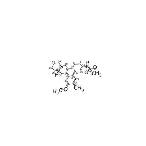 COc1cc2c3c(c4ccc(NS(C)(=O)=O)cc4c2cc1C)CN1CCCC[C@@H]1C3